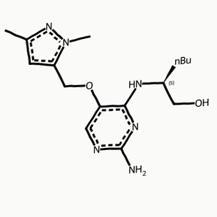 CCCC[C@@H](CO)Nc1nc(N)ncc1OCc1cc(C)nn1C